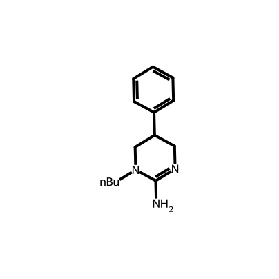 CCCCN1CC(c2ccccc2)CN=C1N